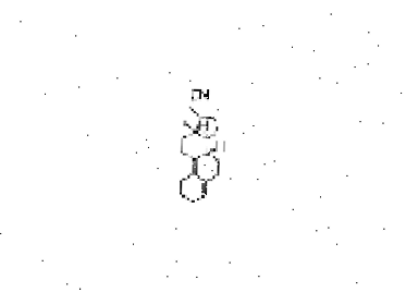 C[C@]12CCC3=C4CCCC=C4CC[C@H]3[C@@H]1CC[C@@H]2CC#N